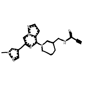 C#CC(=O)NCC1CCCN(c2nc(-c3cnn(C)c3)cn3nccc23)C1